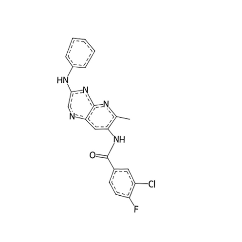 Cc1nc2nc(Nc3ccccc3)cnc2cc1NC(=O)c1ccc(F)c(Cl)c1